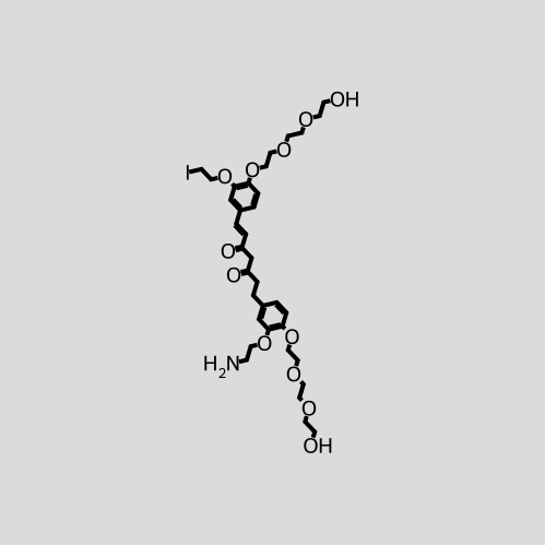 NCCOc1cc(CCC(=O)CC(=O)/C=C/c2ccc(OCCOCCOCCO)c(OCCI)c2)ccc1OCCOCCOCCO